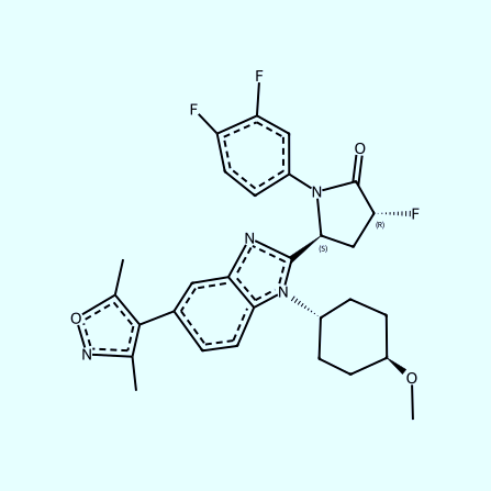 CO[C@H]1CC[C@H](n2c([C@@H]3C[C@@H](F)C(=O)N3c3ccc(F)c(F)c3)nc3cc(-c4c(C)noc4C)ccc32)CC1